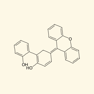 OC1=C(c2ccccc2O)CC(=C2c3ccccc3Oc3ccccc32)C=C1